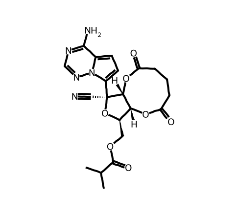 CC(C)C(=O)OC[C@H]1O[C@@](C#N)(c2ccc3c(N)ncnn23)[C@@H]2OC(=O)CCCC(=O)O[C@@H]21